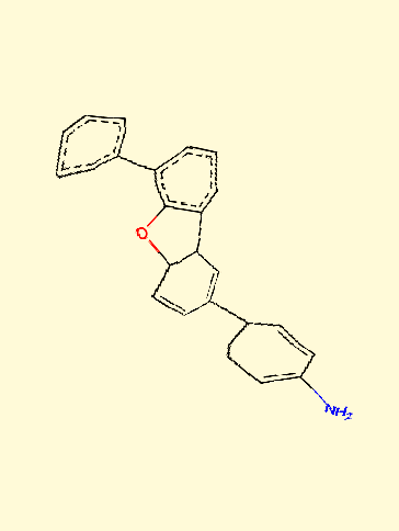 NC1=CCC(C2=CC3c4cccc(-c5ccccc5)c4OC3C=C2)C=C1